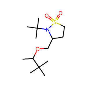 CC(OCC1CCS(=O)(=O)N1C(C)(C)C)C(C)(C)C